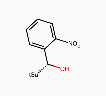 CC(C)(C)[C@@H](O)c1ccccc1[N+](=O)[O-]